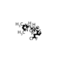 Cc1cc(C)nc(NC(=O)NS(=O)(=O)c2sccc2/C(F)=C(\F)Cl)n1